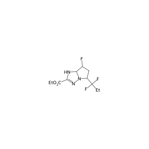 CCOC(=O)C1=NN2C(N1)C(F)CC2C(F)(F)CC